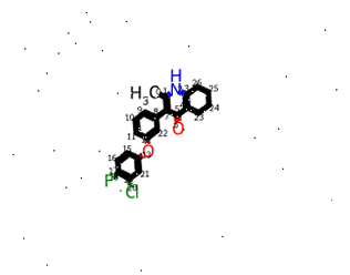 Cc1[nH]c2c(c(=O)c1-c1cccc(Oc3ccc(F)c(Cl)c3)c1)CCCC2